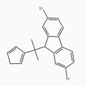 CC(C)(C1=CCC=C1)C1c2cc(Br)ccc2-c2ccc(Br)cc21